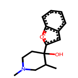 CC1CN(C)CCC1(O)c1cc2ccccc2o1